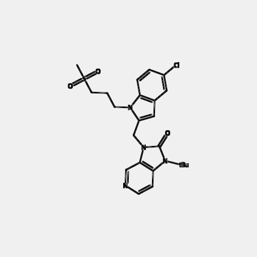 CC(C)(C)n1c(=O)n(Cc2cc3cc(Cl)ccc3n2CCCS(C)(=O)=O)c2cnccc21